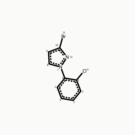 Clc1ccccc1-n1[c]cc(Br)n1